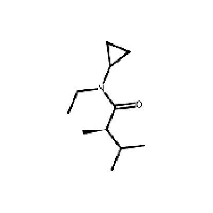 CCN(C(=O)[C@H](C)C(C)C)C1CC1